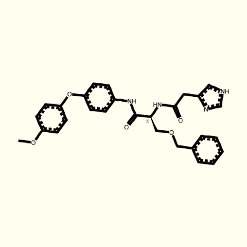 COc1ccc(Oc2ccc(NC(=O)[C@H](COCc3ccccc3)NC(=O)Cc3c[nH]cn3)cc2)cc1